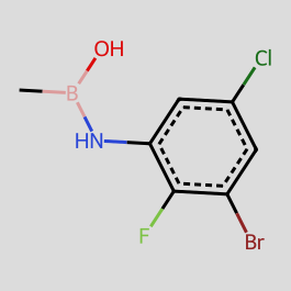 CB(O)Nc1cc(Cl)cc(Br)c1F